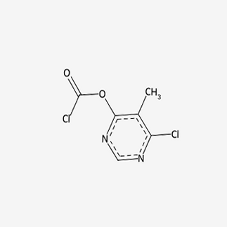 Cc1c(Cl)ncnc1OC(=O)Cl